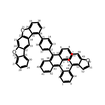 c1ccc(-c2c3ccccc3c(-c3ccc(-c4cccc5oc6cc7oc8ccccc8c7cc6c45)cc3)c3ccccc23)c(-c2cccc3occc23)c1